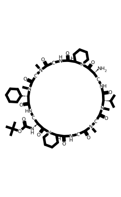 CC(C)[C@H]1C(=O)NC[C@@H](N)C(=O)N2CCCC[C@H]2C(=O)NCC(=O)N(C)CC(=O)N(C)[C@@H](C2CCCCC2)C(=O)NC[C@@H](NC(=O)OC(C)(C)C)C(=O)N2CCCC[C@H]2C(=O)NCC(=O)N(C)CC(=O)N1C